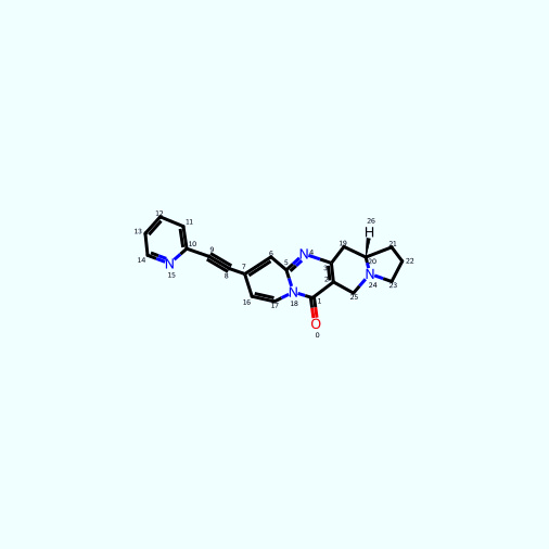 O=c1c2c(nc3cc(C#Cc4ccccn4)ccn13)C[C@@H]1CCCN1C2